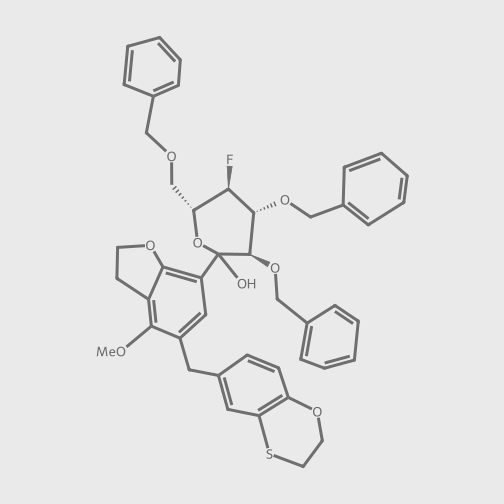 COc1c(Cc2ccc3c(c2)SCCO3)cc(C2(O)O[C@H](COCc3ccccc3)[C@@H](F)[C@H](OCc3ccccc3)[C@H]2OCc2ccccc2)c2c1CCO2